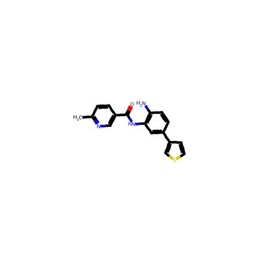 Cc1ccc(C(=O)Nc2cc(-c3ccsc3)ccc2N)cn1